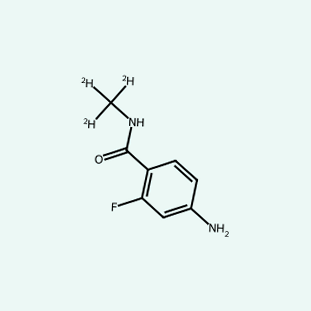 [2H]C([2H])([2H])NC(=O)c1ccc(N)cc1F